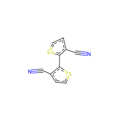 N#Cc1ccsc1-c1sccc1C#N